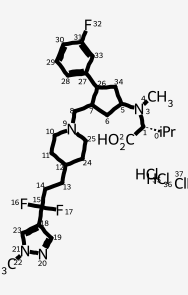 CC(C)[C@H](C(=O)O)N(C)C1CC(CN2CCC(CCC(F)(F)c3cnn(C)c3)CC2)C(c2cccc(F)c2)C1.Cl.Cl.Cl